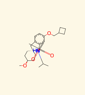 CO[C@H]1CC[C@]2(CC1)Cc1ccc(OCC3CCC3)cc1C21NC(=O)N(C(C)C)C1=O